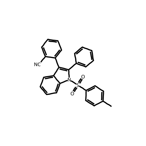 Cc1ccc(S(=O)(=O)n2c(-c3ccccc3)c(-c3ccccc3C#N)c3ccccc32)cc1